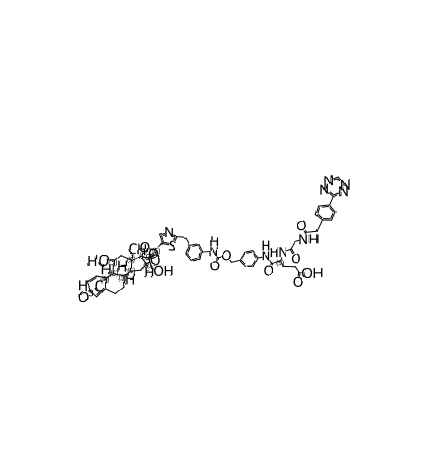 C[C@]12C=CC(=O)C=C1CC[C@@H]1[C@@H]2[C@@H](O)C[C@@]2(C)[C@H]1C[C@H]1O[C@H](c3cnc(Cc4cccc(NC(=O)OCc5ccc(NC(=O)[C@H](CCC(=O)O)NC(=O)CNC(=O)Cc6ccc(-c7nncnn7)cc6)cc5)c4)s3)O[C@]12C(=O)CO